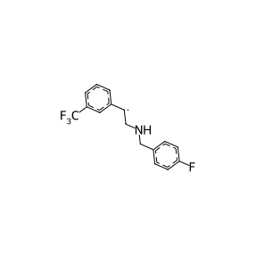 Fc1ccc(CNC[CH]c2cccc(C(F)(F)F)c2)cc1